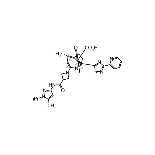 CC1=C2\CC\C(=N/C(N3CC(C(=O)Nc4cc(C)n(C(C)C)n4)C3)=C\1)N(c1nc(-c3ccccn3)ns1)/C=C(/C(=O)O)C2=O